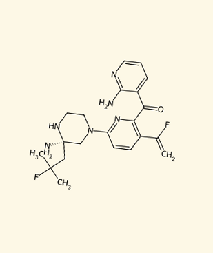 C=C(F)c1ccc(N2CCN[C@](N)(CC(C)(C)F)C2)nc1C(=O)c1cccnc1N